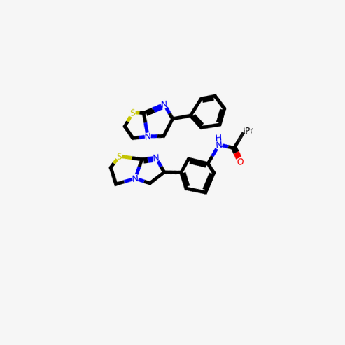 CC(C)C(=O)Nc1cccc(C2CN3CCSC3=N2)c1.c1ccc(C2CN3CCSC3=N2)cc1